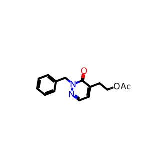 CC(=O)OCCc1ccnn(Cc2ccccc2)c1=O